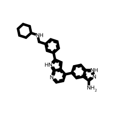 Nc1n[nH]c2ccc(-c3ccnc4[nH]c(-c5cccc(CNC6CCCCC6)c5)cc34)cc12